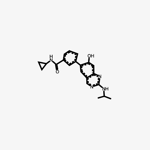 CC(C)Nc1ncc2cc(-c3cccc(C(=O)NC4CC4)c3)c(O)cc2n1